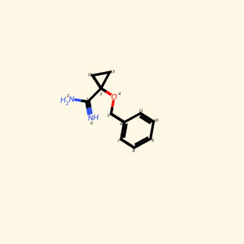 N=C(N)C1(OCc2ccccc2)CC1